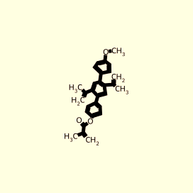 C=C(C)C(=O)Oc1ccc(-c2cc(C(=C)C)c(-c3ccc(OC)cc3)cc2C(=C)C)cc1